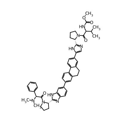 COC(=O)NC(C(=O)N1CCC[C@H]1c1ncc(-c2ccc3c(c2)CCc2cc(-c4ccc5nc([C@@H]6CCCN6C(=O)[C@H](c6ccccc6)N(C)C)[nH]c5c4)ccc2-3)[nH]1)C(C)C